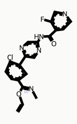 C=CO/C(=N\C)c1ccc(Cl)c(-c2cnc(NC(=O)c3ccncc3F)cn2)c1